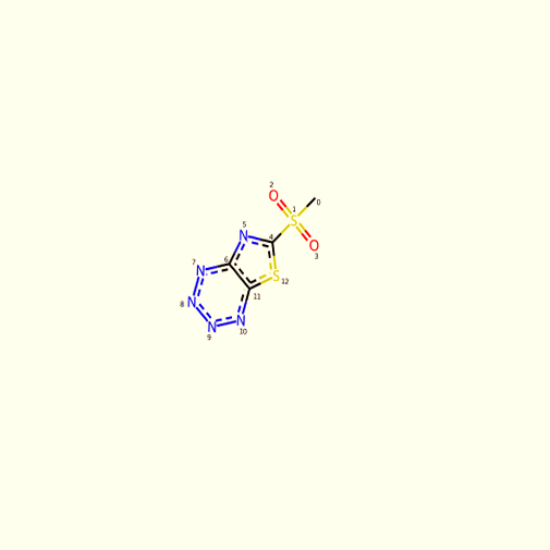 CS(=O)(=O)c1nc2nnnnc2s1